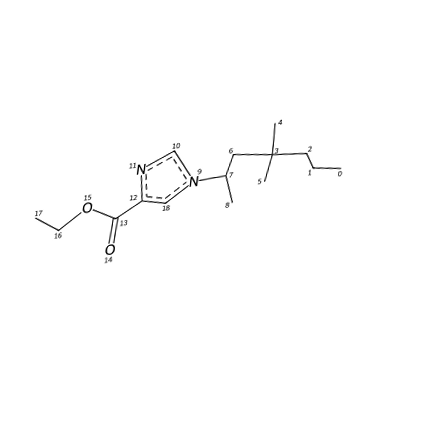 CCCC(C)(C)CC(C)n1cnc(C(=O)OCC)c1